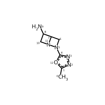 Cc1nnc(N2CC3C(N)CN32)o1